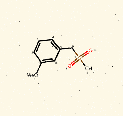 COc1cccc(CS(C)(=O)=O)c1